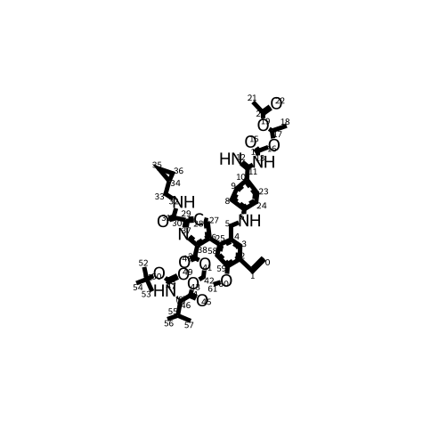 C=Cc1cc(CNc2ccc(C(=N)NC(=O)OC(C)OC(C)=O)cc2)c(-c2ccc(C(=O)NCC3CC3)nc2C(=O)OCOC(=O)[C@@H](NC(=O)OC(C)(C)C)C(C)C)cc1OC